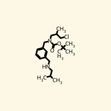 CC(C)CNCc1cccc(CN(CC(C)CCl)C(=O)OC(C)(C)C)c1